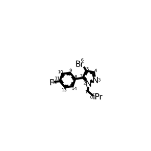 CC(C)Cn1ncc(Br)c1-c1ccc(F)cc1